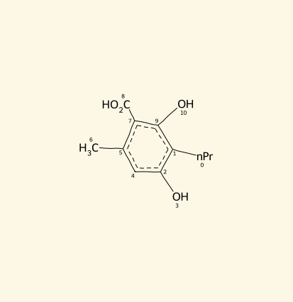 CCCc1c(O)cc(C)c(C(=O)O)c1O